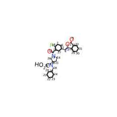 O=C1O/C(=C\c2ccc(F)c(C(=O)N3CC[C@H](N(Cc4ccccc4)C(=O)O)C3)c2)c2ccccc21